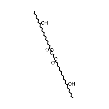 CCCCCCC(O)CCCCCCCCCCC(=O)OCCOOC(=O)CCCCCCCCCCC(O)CCCCCC